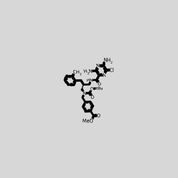 COC(=O)c1ccc(CN(C[C@H](CNC(=O)c2nc(Cl)c(N)nc2N)Cc2ccccc2C)C(=O)OC(C)(C)C)cc1